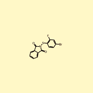 O=C1c2ccccc2C(=O)N1Sc1ccc(Br)cc1F